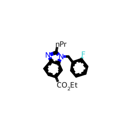 CCCc1nc2ccc(C(=O)OCC)cc2n1Cc1ccccc1F